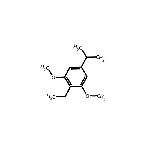 CCc1c(OC)cc(C(C)C)cc1OC